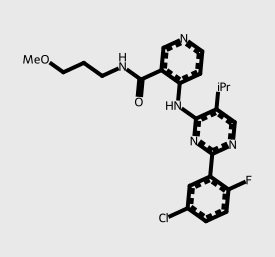 COCCCNC(=O)c1cnccc1Nc1nc(-c2cc(Cl)ccc2F)ncc1C(C)C